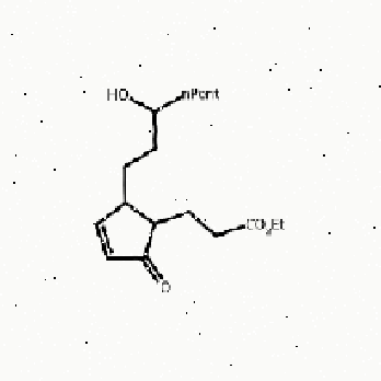 CCCCCC(O)CCC1C=CC(=O)C1CCC(=O)OCC